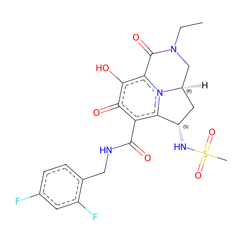 CCN1C[C@H]2C[C@H](NS(C)(=O)=O)c3c(C(=O)NCc4ccc(F)cc4F)c(=O)c(O)c(n32)C1=O